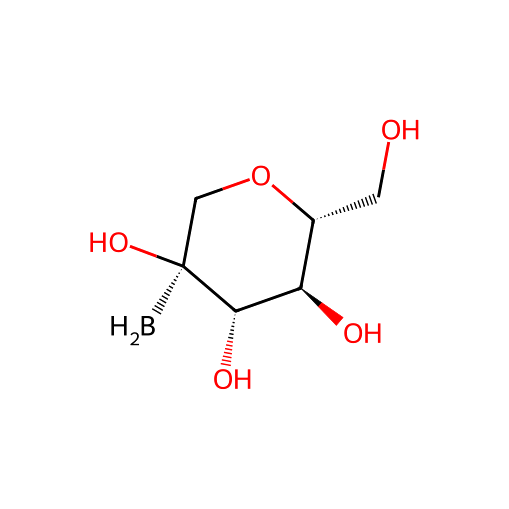 B[C@]1(O)CO[C@H](CO)[C@@H](O)[C@@H]1O